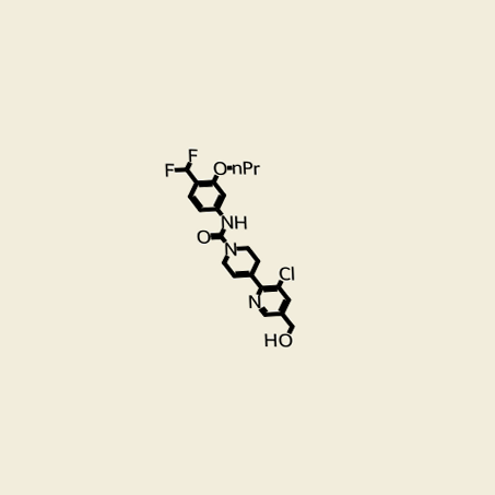 CCCOc1cc(NC(=O)N2CC=C(c3ncc(CO)cc3Cl)CC2)ccc1C(F)F